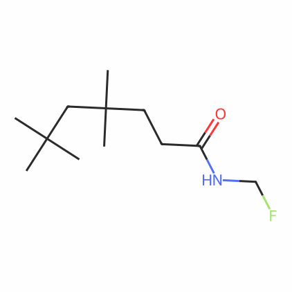 CC(C)(C)CC(C)(C)CCC(=O)NCF